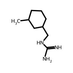 CC1CCCC(CNC(=N)N)C1